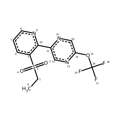 CCS(=O)(=O)c1cccnc1-c1cnc(OC(F)(F)F)cn1